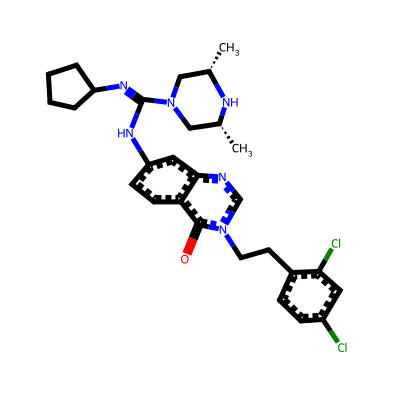 C[C@@H]1CN(/C(=N/C2CCCC2)Nc2ccc3c(=O)n(CCc4ccc(Cl)cc4Cl)cnc3c2)C[C@H](C)N1